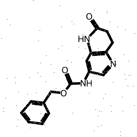 O=C1CCc2ncc(NC(=O)OCc3ccccc3)cc2N1